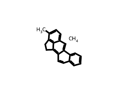 C.Cc1ccc2cc3c(ccc4ccccc43)c3c2c1CC3